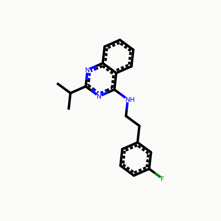 CC(C)c1nc(NCCc2cccc(F)c2)c2ccccc2n1